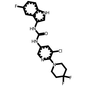 O=C(Nc1cnc(N2CCC(F)(F)CC2)c(Cl)c1)Nc1c[nH]c2ccc(F)cc12